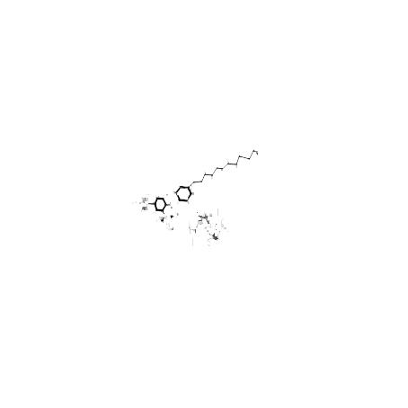 CCCCCCCCCCCCc1ccc(Oc2ccc(S(=O)(=O)[O-])cc2S(=O)(=O)[O-])cc1.C[N+](C)(C)C.C[N+](C)(C)C